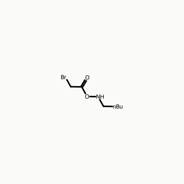 CCCCCNOC(=O)CBr